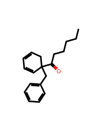 CCCCCC(=O)C1(Cc2ccccc2)C=CC=CC1